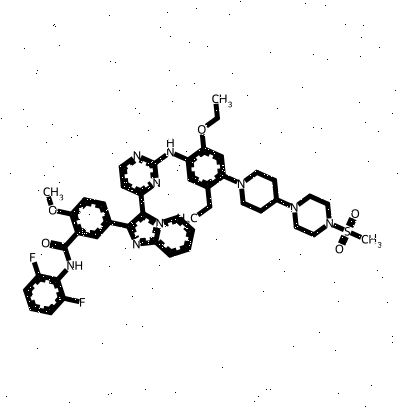 CCOc1cc(N2CCC(N3CCN(S(C)(=O)=O)CC3)CC2)c(CC)cc1Nc1nccc(-c2c(-c3ccc(OC)c(C(=O)Nc4c(F)cccc4F)c3)nc3ccccn23)n1